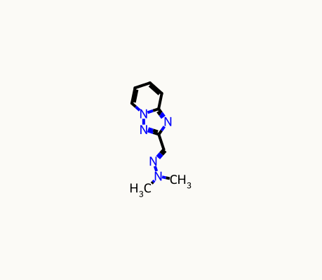 CN(C)N=Cc1nc2ccccn2n1